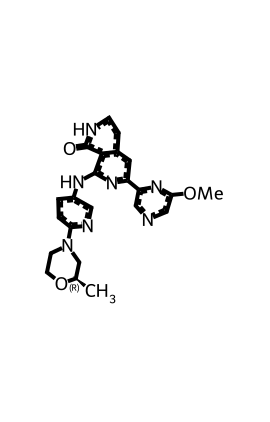 COc1cncc(-c2cc3cc[nH]c(=O)c3c(Nc3ccc(N4CCO[C@H](C)C4)nc3)n2)n1